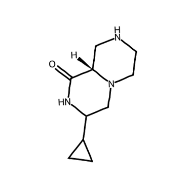 O=C1NC(C2CC2)CN2CCNC[C@@H]12